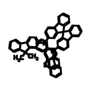 CC1(C)c2ccccc2-c2ccc(N(c3ccc4c(c3)C3(c5ccccc5-c5ccc(N(c6ccccc6)c6ccccc6)cc53)c3ccccc3-4)c3ccc4c(c3)sc3ccccc34)cc21